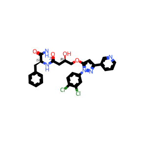 NC(=O)[C@H](Cc1ccccc1)NC(=O)C[C@@H](O)COc1cc(-c2cccnc2)nn1-c1ccc(Cl)c(Cl)c1